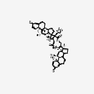 C[C@H]1CC2C3CCC4=CC(=O)C=C[C@]4(C)[C@@]3(F)[C@@H](O)C[C@]2(C)[C@@]1(O)C(CC=O)(C(=O)OCC(=O)[C@@]1(O)CCC2C3CCC4=CC(=O)C=C[C@]4(C)C3[C@@H](O)C[C@@]21C)C(O)CC(=O)O